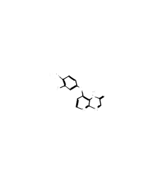 Nc1ccc(Oc2ccnc3ncc(=O)[nH]c23)cc1F